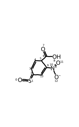 O=S=C1C=CC(C(=O)O)C([N+](=O)[O-])=C1